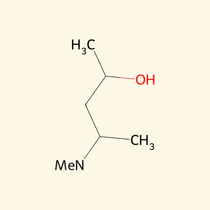 CNC(C)CC(C)O